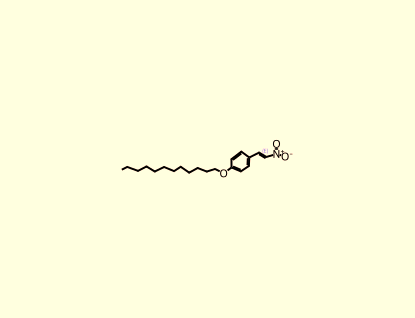 CCCCCCCCCCCCOc1ccc(/C=C/[N+](=O)[O-])cc1